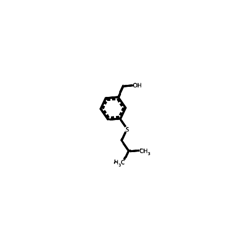 CC(C)CSc1cccc(CO)c1